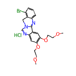 COCCOc1cc2c(cc1OCCOC)C1=Nc3cccc(Br)c3CN1C=N2.Cl